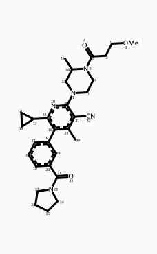 COCCC(=O)N1CCN(c2nc(C3CC3)c(-c3cccc(C(=O)N4CCCC4)c3)c(C)c2C#N)CC1C